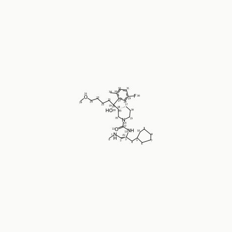 CNC[C@H](CC1CCCCC1)NC(=O)N1CCC[C@@H]([C@@](O)(CCCCOC)c2cc(F)ccc2C)C1